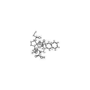 CCC(=O)N1CCC(O)C1(NS(=O)(=O)c1ccc2ccccc2c1)C1CCCN(C(=O)O)C1(C)OC